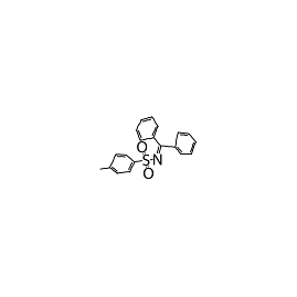 Cc1ccc(S(=O)(=O)N=C(c2ccccc2)c2ccccc2)cc1